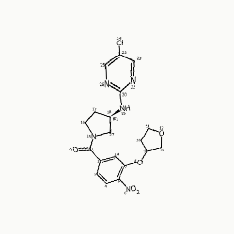 O=C(c1ccc([N+](=O)[O-])c(OC2CCOC2)c1)N1CC[C@@H](Nc2ncc(Cl)cn2)C1